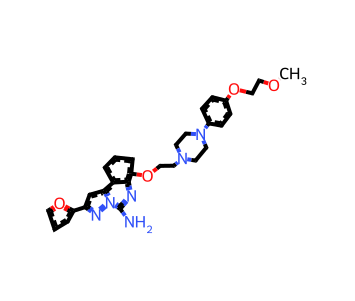 COCCOc1ccc(N2CCN(CCOc3cccc4c3nc(N)n3nc(-c5ccco5)cc43)CC2)cc1